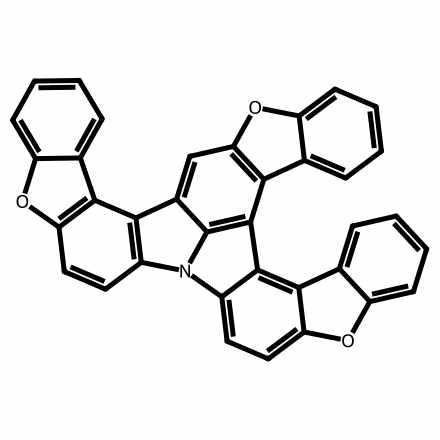 c1ccc2c(c1)oc1ccc3c(c4cc5oc6ccccc6c5c5c6c7c(ccc6n3c45)oc3ccccc37)c12